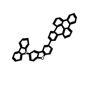 c1ccc2c(c1)c1cccc3c4ccc(-c5ccc6oc7ccc(-n8c9ccccc9c9ccccc98)cc7c6c5)cc4c4cccc2c4c13